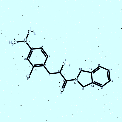 CN(C)c1ccc(CC(N)C(=O)N2Cc3ccccc3C2)c(Cl)c1